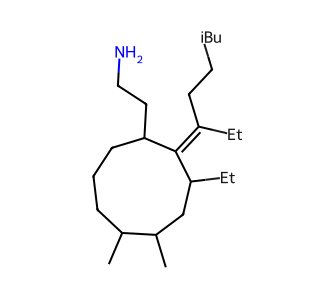 CC/C(CCC(C)CC)=C1/C(CCN)CCCC(C)C(C)CC1CC